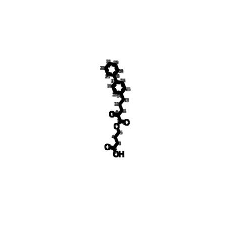 O=C(O)CCCOC(=O)C(=O)CCCc1ccc(-c2ccccc2)cc1